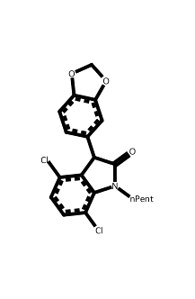 CCCCCN1C(=O)C(c2ccc3c(c2)OCO3)c2c(Cl)ccc(Cl)c21